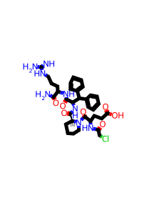 N=C(N)NCCCC(NC(=O)C(NC(=O)[C@@H]1CCCCN1C(=O)C(CCC(=O)O)NC(=O)CCl)C(c1ccccc1)c1ccccc1)C(N)=O